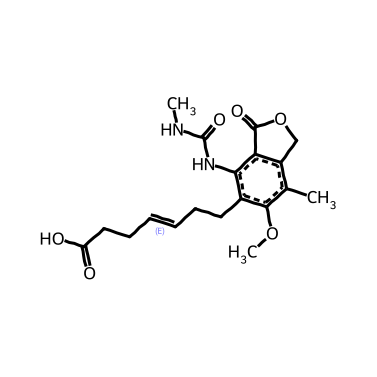 CNC(=O)Nc1c(CC/C=C/CCC(=O)O)c(OC)c(C)c2c1C(=O)OC2